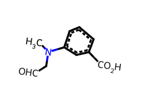 CN(CC=O)c1cccc(C(=O)O)c1